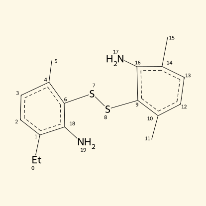 CCc1ccc(C)c(SSc2c(C)ccc(C)c2N)c1N